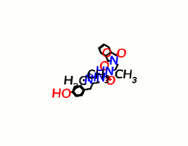 CC(CN1C(=O)C2C3C=CC(O3)C2C1=O)NC(=O)NCC(Cc1ccc(O)cc1)N(C)C